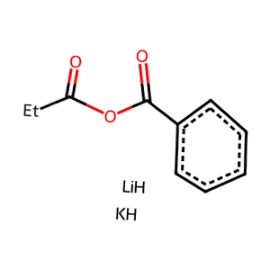 CCC(=O)OC(=O)c1ccccc1.[KH].[LiH]